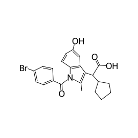 Cc1c(C(C(=O)O)C2CCCC2)c2cc(O)ccc2n1C(=O)c1ccc(Br)cc1